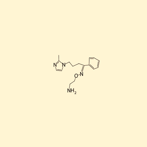 Cc1nccn1CCCC(=NOCCN)c1ccccc1